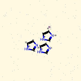 [P].c1c[nH]cn1.c1c[nH]cn1.c1c[nH]cn1